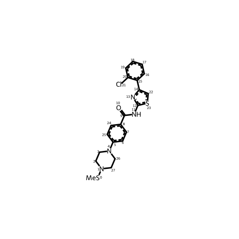 CSN1CCN(c2ccc(C(=O)Nc3nc(-c4ccccc4Cl)cs3)cc2)CC1